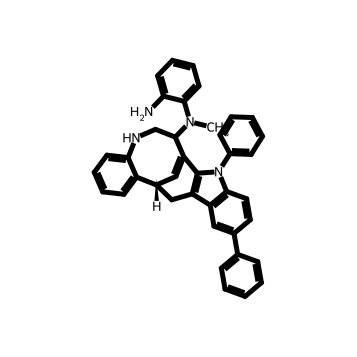 CN(c1ccccc1N)C1CNc2ccccc2[C@@H]2C=C1c1c(c3cc(-c4ccccc4)ccc3n1-c1ccccc1)C2